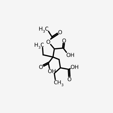 CCC(CC(CC)(C(=O)O)C(OC(C)=O)C(=O)O)C(=O)O